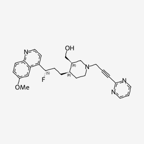 COc1ccc2nccc([C@@H](F)CC[C@@H]3CCN(CC#Cc4ncccn4)C[C@@H]3CO)c2c1